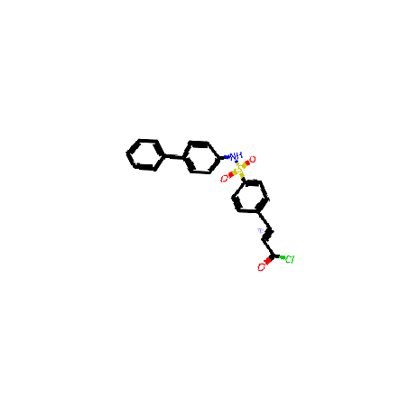 O=C(Cl)/C=C/c1ccc(S(=O)(=O)Nc2ccc(-c3ccccc3)cc2)cc1